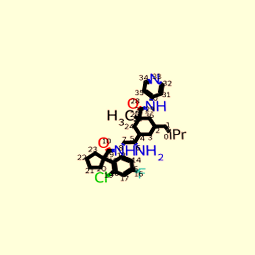 CC(C)CC1CC(C(N)CNC(=O)C2(c3ccc(F)cc3Cl)CCCC2)CC(C)(C(=O)Nc2ccncc2)C1